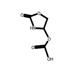 O=C(O)OC1COC(=O)N1